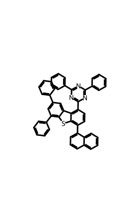 c1ccc(-c2cc(-c3ccccc3)c3sc4c(-c5cccc6ccccc56)ccc(-c5nc(-c6ccccc6)nc(-c6ccccc6)n5)c4c3c2)cc1